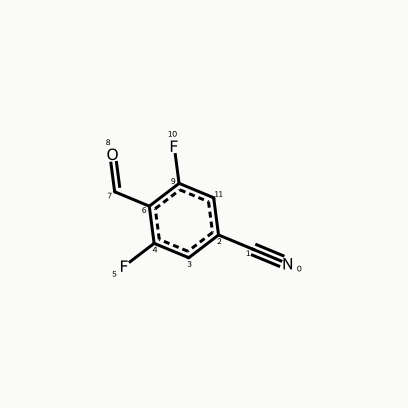 N#Cc1cc(F)c(C=O)c(F)c1